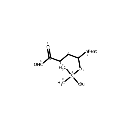 CCCCCC(CCC(=O)C=O)O[Si](C)(C)C(C)(C)C